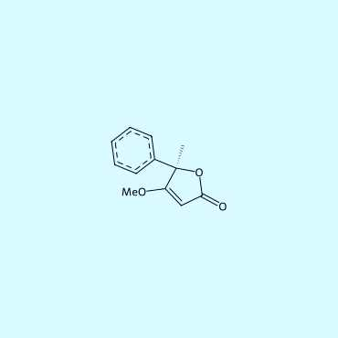 COC1=CC(=O)O[C@]1(C)c1ccccc1